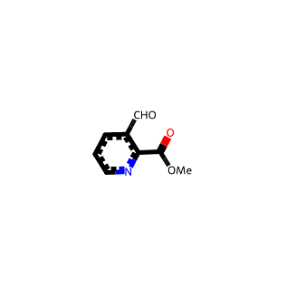 COC(=O)c1ncccc1C=O